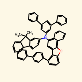 CC1(C)c2ccccc2-c2ccc(N(c3cc(-c4ccccc4)cc(-c4ccccc4)c3)c3cc4c(oc5cccc(-c6ccc(-c7ccccc7)cc6)c54)c4ccccc34)cc21